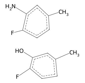 Cc1ccc(F)c(N)c1.Cc1ccc(F)c(O)c1